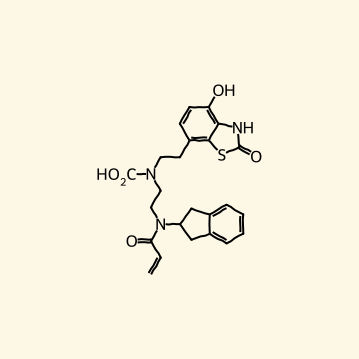 C=CC(=O)N(CCN(CCc1ccc(O)c2[nH]c(=O)sc12)C(=O)O)C1Cc2ccccc2C1